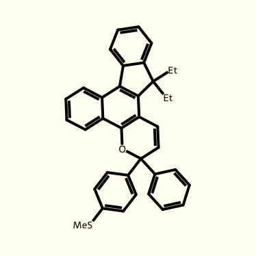 CCC1(CC)c2ccccc2-c2c1c1c(c3ccccc23)OC(c2ccccc2)(c2ccc(SC)cc2)C=C1